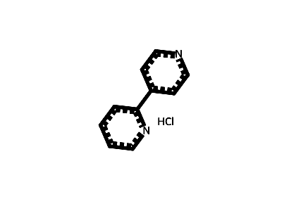 Cl.c1ccc(-c2ccncc2)nc1